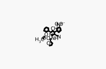 COCOc1ccccc1-c1nc(NC(=O)c2ccco2)c(C#N)c(-c2cccc([N+](=O)[O-])c2)c1C